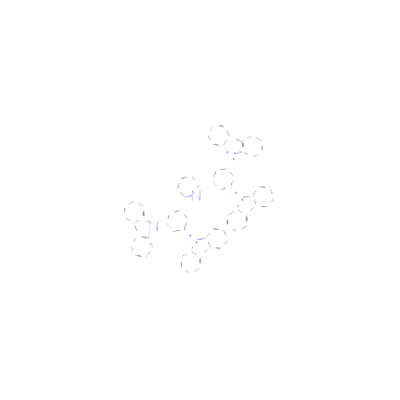 c1cc(-c2cc(-n3c4ccccc4c4ccccc43)cc(-n3c4ccccc4c4ccccc43)c2)nc(-c2cc(-n3c4ccccc4c4ccccc43)cc(-n3c4ccccc4c4ccccc43)c2)c1